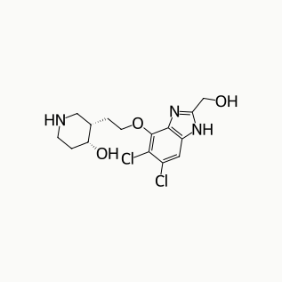 OCc1nc2c(OCC[C@H]3CNCC[C@H]3O)c(Cl)c(Cl)cc2[nH]1